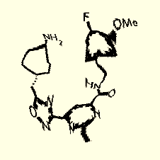 COc1cc(CNC(=O)c2cc(-c3noc(C[C@H]4CC[C@H](N)CC4)n3)nc(C)n2)ccc1F